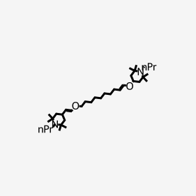 CCCN1C(C)(C)CC(C=COCCCCCCCCC=COC2CC(C)(C)N(CCC)C(C)(C)C2)CC1(C)C